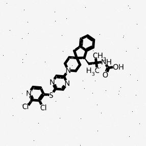 CC(C)(C[C@@H]1c2ccccc2CC12CCN(c1cnc(Sc3ccnc(Cl)c3Cl)cn1)CC2)NC(=O)O